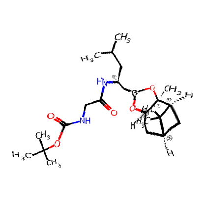 CC(C)C[C@H](NC(=O)CNC(=O)OC(C)(C)C)B1O[C@@H]2C[C@@H]3C[C@@H](C3(C)C)[C@]2(C)O1